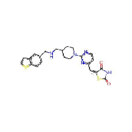 O=C1NC(=O)/C(=C\c2ccnc(N3CCC(CNCc4ccc5sccc5c4)CC3)n2)S1